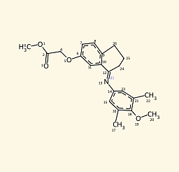 COC(=O)COc1ccc2c(c1)/C(=N/c1cc(C)c(OC)c(C)c1)CCC2